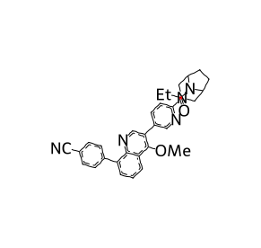 CCC(=O)N1C2CCC1CN(c1ccc(-c3cnc4c(-c5ccc(C#N)cc5)cccc4c3OC)cn1)C2